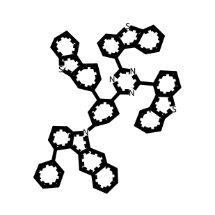 c1ccc(-c2cccc3c2c2cc4ccccc4cc2n3-c2ccc(-c3nc(-c4cccc5sc6ccccc6c45)nc(-c4cccc5sc6ccccc6c45)n3)c(-c3ccc4c(c3)sc3ccccc34)c2)cc1